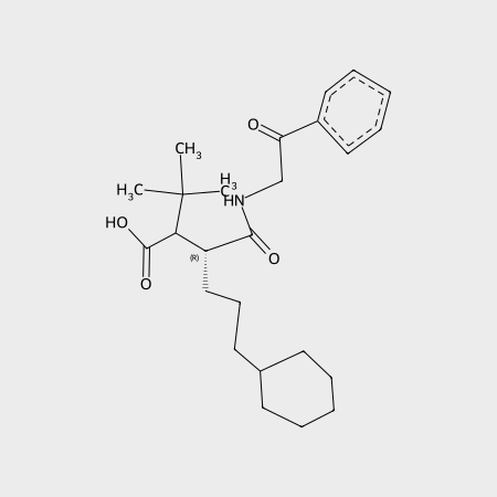 CC(C)(C)C(C(=O)O)[C@@H](CCCC1CCCCC1)C(=O)NCC(=O)c1ccccc1